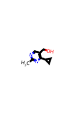 Cc1ncc(CO)c(C2CC2)n1